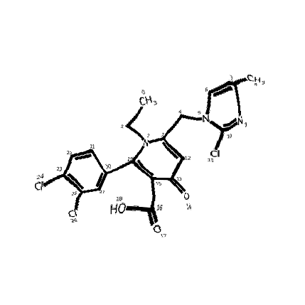 CCn1c(Cn2cc(C)nc2Cl)cc(=O)c(C(=O)O)c1-c1ccc(Cl)c(Cl)c1